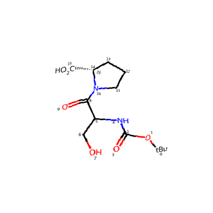 CC(C)(C)OC(=O)NC(CO)C(=O)N1CCC[C@H]1C(=O)O